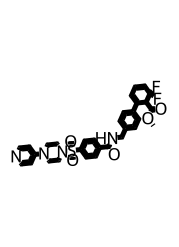 COC(=O)C1C(c2ccc(CNC(=O)c3ccc(S(=O)(=O)N4CCN(c5ccncc5)CC4)cc3)cc2)=CC=CC1(F)F